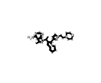 Cc1nn(C(C)c2cc3ccccn3c2-c2ccn(CCN3CCOCC3)n2)c2ncnc(N)c12